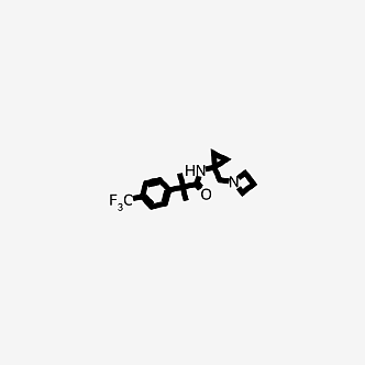 CC(C)(C(=O)NC1(CN2CCC2)CC1)c1ccc(C(F)(F)F)cc1